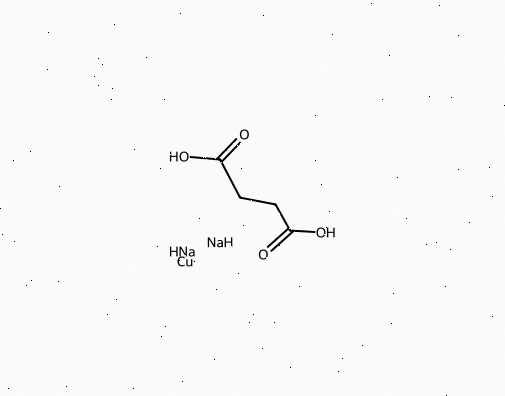 O=C(O)CCC(=O)O.[Cu].[NaH].[NaH]